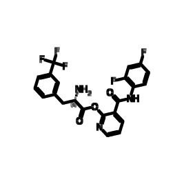 N[C@@H](Cc1cccc(C(F)(F)F)c1)C(=O)Oc1ncccc1C(=O)Nc1ccc(F)cc1F